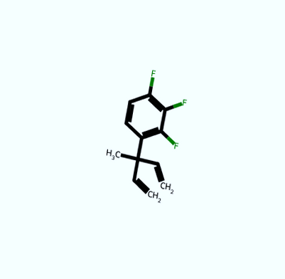 C=CC(C)(C=C)c1ccc(F)c(F)c1F